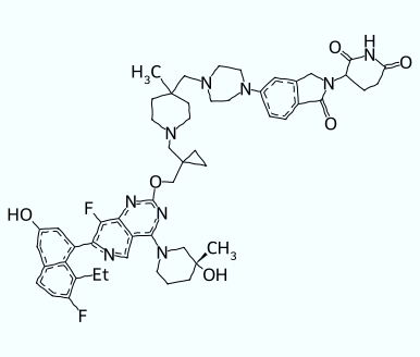 CCc1c(F)ccc2cc(O)cc(-c3ncc4c(N5CCC[C@@](C)(O)C5)nc(OCC5(CN6CCC(C)(CN7CCN(c8ccc9c(c8)CN(C8CCC(=O)NC8=O)C9=O)CC7)CC6)CC5)nc4c3F)c12